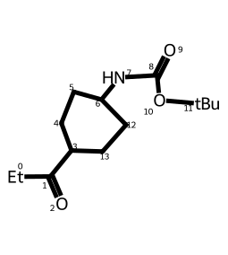 CCC(=O)C1CCC(NC(=O)OC(C)(C)C)CC1